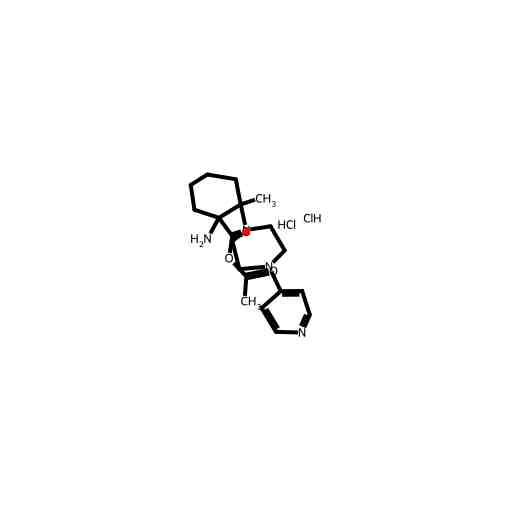 CC(=O)OC(=O)C1(N)CCCCC1(C)N1CCN(c2ccncc2)CC1.Cl.Cl